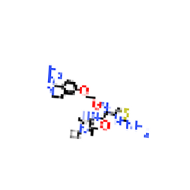 C=C1[C@@H](NC(=O)/C(=N\OCCOc2ccc3c(N)nccc3c2)c2csc(N)n2)C(C)(C)N1CC